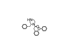 O=C(Cc1ccccc1Oc1ccccc1)N1CCNCC1Cc1ccccc1